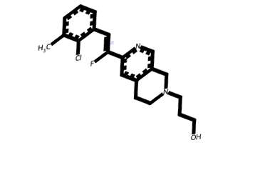 Cc1cccc(/C=C(\F)c2cc3c(cn2)CN(CCCO)CC3)c1Cl